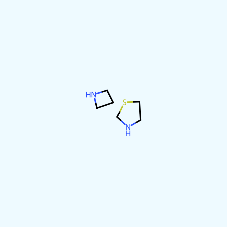 C1CNC1.C1CSCN1